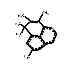 CC1=C(C)C(C)(C)c2cc(C)cc3ccnc1c23